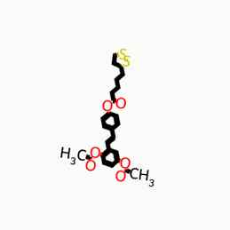 CC(=O)Oc1ccc(OC(C)=O)c(/C=C/c2ccc(OC(=O)CCCCC3CCSS3)cc2)c1